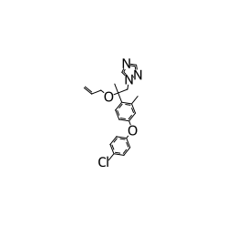 C=CCOC(C)(Cn1cncn1)c1ccc(Oc2ccc(Cl)cc2)cc1C